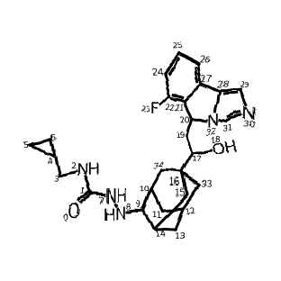 O=C(NCC1CC1)NNC1C2CC3CC1CC(C(O)CC1c4c(F)cccc4-c4cncn41)(C3)C2